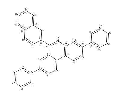 c1ccc(-c2ccc3c(c2)c(-c2ccc4ccccc4c2)nc2cc(-c4cccnc4)ccc23)cc1